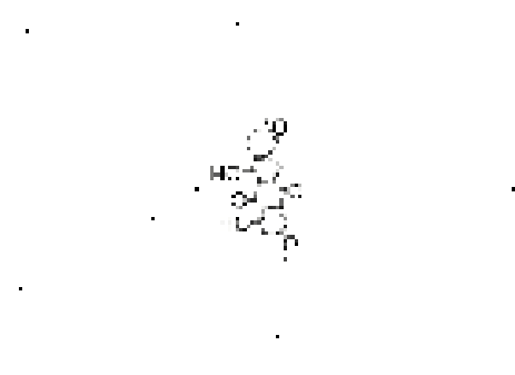 COc1cc(O)c2c(c1)C(=O)c1cc3c(c(O)c1C2=O)CCC1(C)OC31